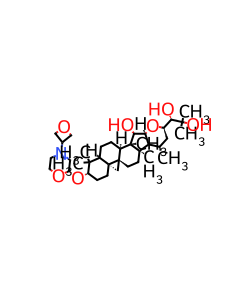 C[C@@H]1C[C@H]([C@H](O)C(C)(C)O)O[C@H]2C1[C@@]1(C)CC[C@@]34C[C@@]35CC[C@H](O[C@H]3CN(C6COC6)CCO3)C(C)(C)[C@@H]5CC[C@H]4[C@]1(C)[C@H]2O